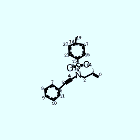 C=CCN(C#Cc1ccccc1)S(=O)(=O)c1ccc(C)cc1